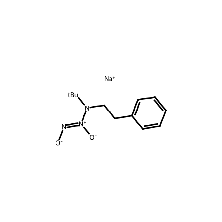 CC(C)(C)N(CCc1ccccc1)[N+]([O-])=N[O-].[Na+]